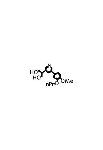 CCCOc1cc(-c2cncc(C(CO)CO)c2)ccc1OC